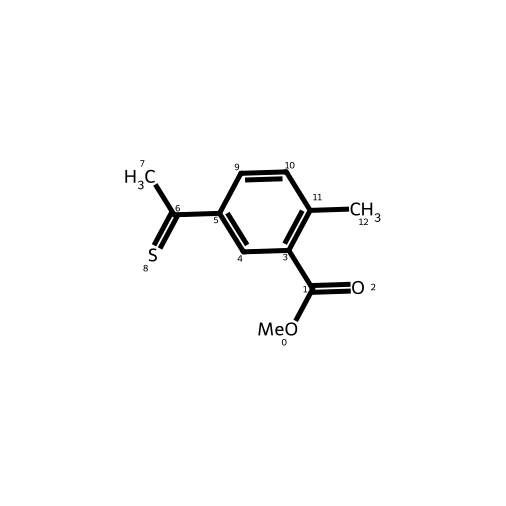 COC(=O)c1cc(C(C)=S)ccc1C